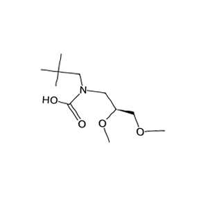 COC[C@H](CN(CC(C)(C)C)C(=O)O)OC